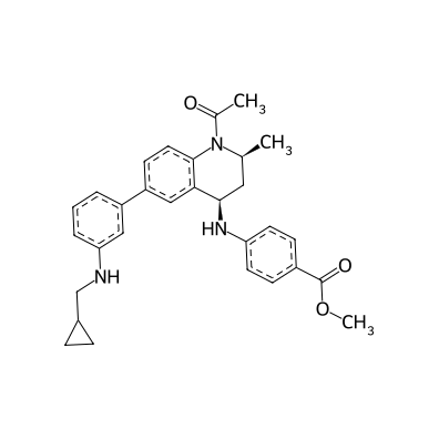 COC(=O)c1ccc(N[C@@H]2C[C@H](C)N(C(C)=O)c3ccc(-c4cccc(NCC5CC5)c4)cc32)cc1